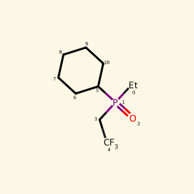 CCP(=O)(CC(F)(F)F)C1CCCCC1